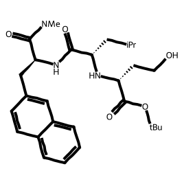 CNC(=O)[C@H](Cc1ccc2ccccc2c1)NC(=O)[C@H](CC(C)C)N[C@H](CCO)C(=O)OC(C)(C)C